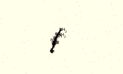 Cl.Cl.NCCCCC(N)C(=O)NCCC(=O)ONC(=O)Cc1ccc(CCCCc2ccccc2)cc1